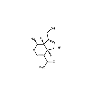 COC(=O)C1=CO[C@@H](O)[C@@H]2C(CO)=CC[C@H]12.[H+]